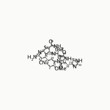 COc1ccc(-c2c(C#N)c(N)nc3sc(C(N)=O)c(N)c23)cc1NC(=O)C(Cc1c[nH]cn1)NC(=O)OC(C)(C)C